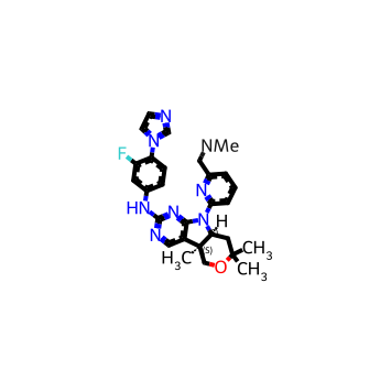 CNCc1cccc(N2c3nc(Nc4ccc(-n5ccnc5)c(F)c4)ncc3[C@]3(C)COC(C)(C)C[C@H]23)n1